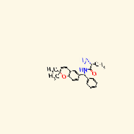 C[C@H](N)C(=O)NC(C1=CC2C=CC(C)(C)OC2C=C1)c1ccccc1